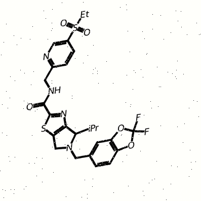 CCS(=O)(=O)c1ccc(CNC(=O)c2nc3c(s2)CN(Cc2ccc4c(c2)OC(F)(F)O4)C3C(C)C)nc1